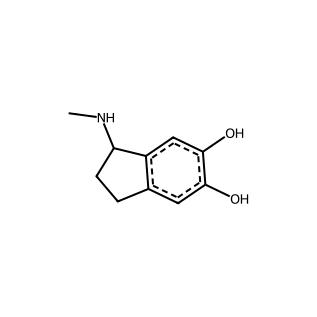 CNC1CCc2cc(O)c(O)cc21